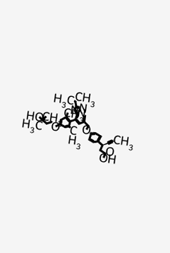 CC#C[C@@H](CC(=O)O)c1ccc(OCc2cc(-c3c(C)cc(OCCC(C)(C)O)cc3C)c3nc(C(C)C)nn3c2)cc1